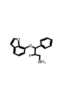 NCC(F)C(Oc1cccc2ccoc12)c1ccccc1